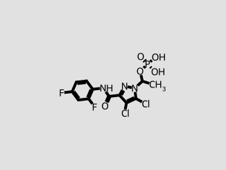 CC(OP(=O)(O)O)n1nc(C(=O)Nc2ccc(F)cc2F)c(Cl)c1Cl